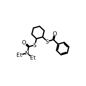 CCN(CC)C(=O)SC1CCCCC1SC(=O)c1ccccc1